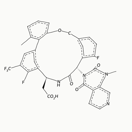 Cc1cccc2c1-c1cc(c(F)c(C(F)(F)F)c1)[C@H](CC(=O)O)NC(=O)[C@@H](n1c(=O)c3ccncc3n(C)c1=O)c1cc(ccc1F)CO2